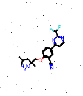 CC(C)CC(C)(N)COc1ccc(-c2ccnc(C(F)F)n2)cc1C#N